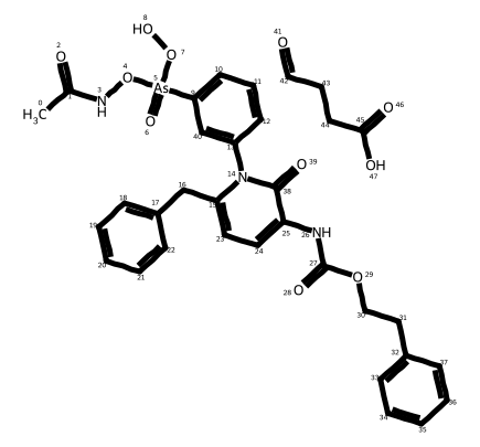 CC(=O)NO[As](=O)(OO)c1cccc(-n2c(Cc3ccccc3)ccc(NC(=O)OCCc3ccccc3)c2=O)c1.O=CCCC(=O)O